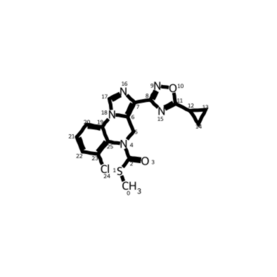 CSC(=O)N1Cc2c(-c3noc(C4CC4)n3)ncn2-c2cccc(Cl)c21